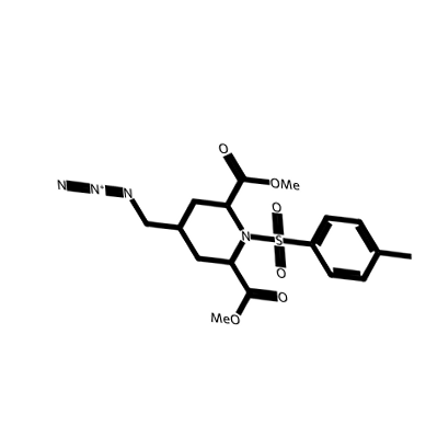 COC(=O)C1CC(CN=[N+]=[N-])CC(C(=O)OC)N1S(=O)(=O)c1ccc(C)cc1